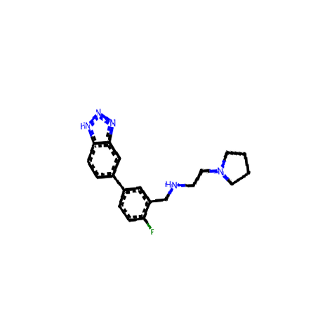 Fc1ccc(-c2ccc3[nH]nnc3c2)cc1CNCCN1CCCC1